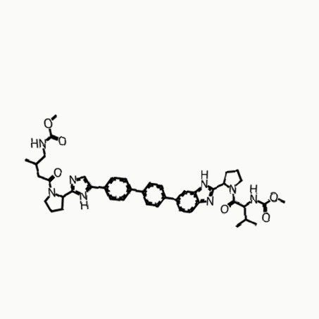 COC(=O)NCC(C)CC(=O)N1CCCC1c1ncc(-c2ccc(-c3ccc(-c4ccc5nc(C6CCCN6C(=O)C(NC(=O)OC)C(C)C)[nH]c5c4)cc3)cc2)[nH]1